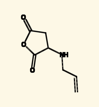 C=CCNC1CC(=O)OC1=O